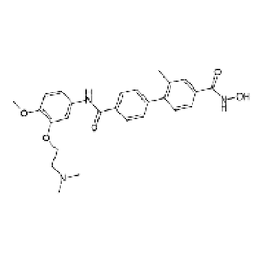 COc1ccc(NC(=O)c2ccc(-c3ccc(C(=O)NO)cc3C)cc2)cc1OCCN(C)C